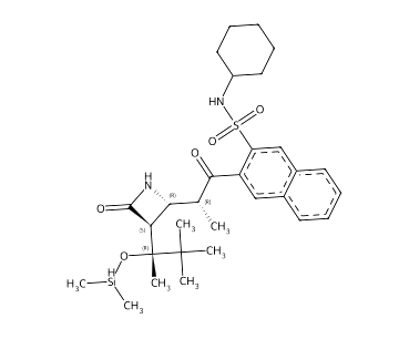 C[C@@H](C(=O)c1cc2ccccc2cc1S(=O)(=O)NC1CCCCC1)[C@H]1NC(=O)[C@@H]1[C@@](C)(O[SiH](C)C)C(C)(C)C